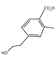 Cc1cc(CCO)ccc1C(=O)O